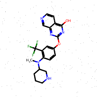 CN(c1ccc(Oc2nc(O)c3ccncc3n2)cc1C(F)(F)F)C1CCCNC1